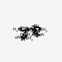 CCCn1cnc2c1c(=O)n(CCC(C)(C#CCN(C)C)OC(=O)/C=C/C(=O)OC(C)(C#CCN(C)C)CCn1c(=O)c3c(ncn3CCC)n(C)c1=O)c(=O)n2C